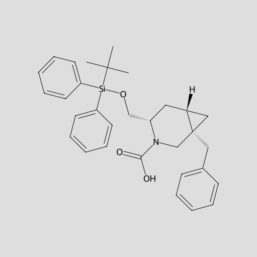 CC(C)(C)[Si](OC[C@@H]1C[C@@H]2C[C@@]2(Cc2ccccc2)CN1C(=O)O)(c1ccccc1)c1ccccc1